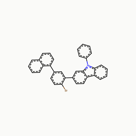 Brc1ccc(-c2cccc3ccccc23)cc1-c1ccc2c3ccccc3n(-c3ccccc3)c2c1